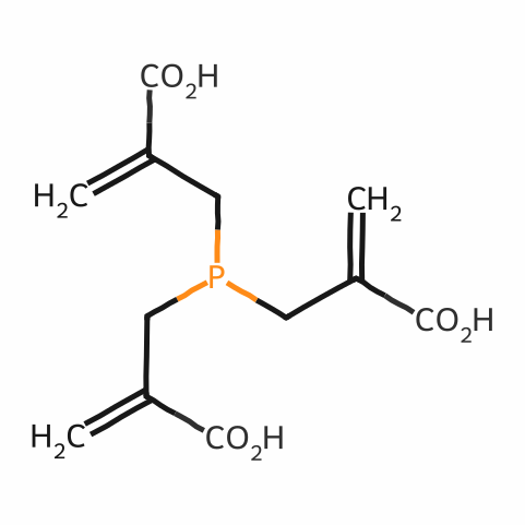 C=C(CP(CC(=C)C(=O)O)CC(=C)C(=O)O)C(=O)O